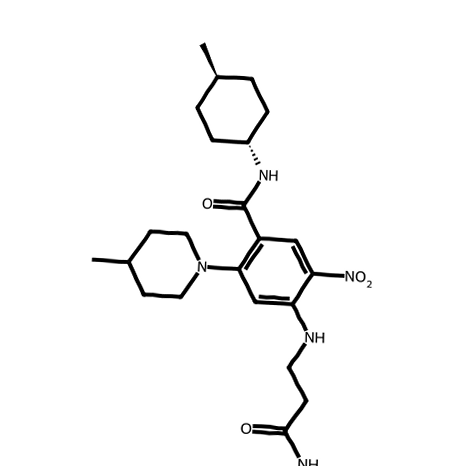 CC1CCN(c2cc(NCCC(N)=O)c([N+](=O)[O-])cc2C(=O)N[C@H]2CC[C@H](C)CC2)CC1